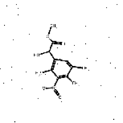 COC(=O)C(O)c1cc(C)c(C)c([N+](=O)[O-])c1C